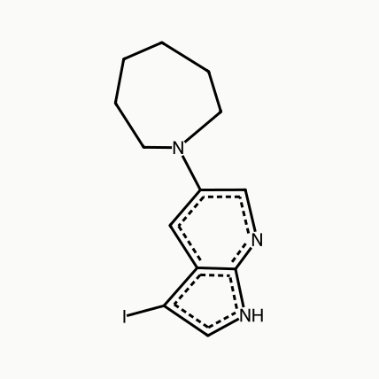 Ic1c[nH]c2ncc(N3CCCCCC3)cc12